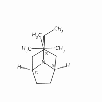 CC[C@H]1C[C@H]2CC[C@@H](C1)N2C(C)(C)C